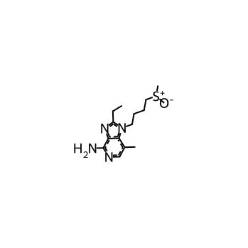 CCc1nc2c(N)ncc(C)c2n1CCCC[S+](C)[O-]